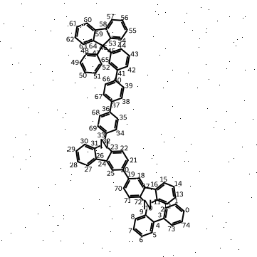 c1ccc(-c2ccccc2-n2c3ccccc3c3cc(-c4ccc5c(c4)c4ccccc4n5-c4ccc(-c5ccc(-c6cccc(C7(c8ccccc8)c8ccccc8-c8ccccc87)c6)cc5)cc4)ccc32)cc1